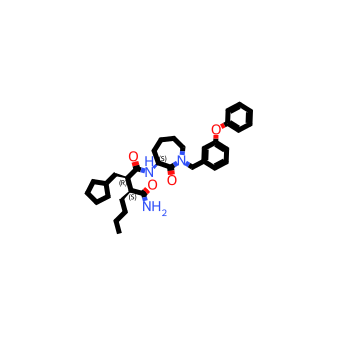 CCCC[C@H](C(N)=O)[C@@H](CC1CCCC1)C(=O)N[C@H]1CCCCN(Cc2cccc(Oc3ccccc3)c2)C1=O